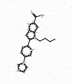 CCCCn1c(-c2ccc(-n3ccnc3)cn2)cc2sc(C(=O)O)cc21